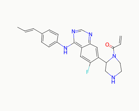 C=CC(=O)N1CCNCC1c1cc2ncnc(Nc3ccc(/C=C/C)cc3)c2cc1F